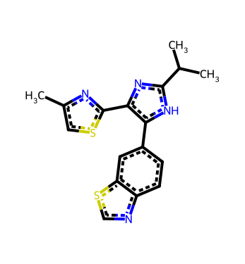 Cc1csc(-c2nc(C(C)C)[nH]c2-c2ccc3ncsc3c2)n1